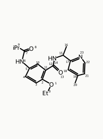 CCOc1ccc(NC(=O)C(C)C)cc1C(=O)NC(C)c1cc(C)ccn1